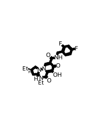 CC[C@@H]1C[C@H]2N(CC)C(=O)c3c(O)c(=O)c(C(=O)NCc4ccc(F)cc4F)cn3N2C1